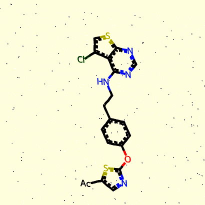 CC(=O)c1cnc(Oc2ccc(CCNc3ncnc4scc(Cl)c34)cc2)s1